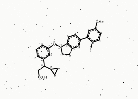 COc1ccc(F)c(-c2ccc3c(n2)CC[C@H]3Oc2cccc(C(CC(=O)O)C3CC3)c2)c1